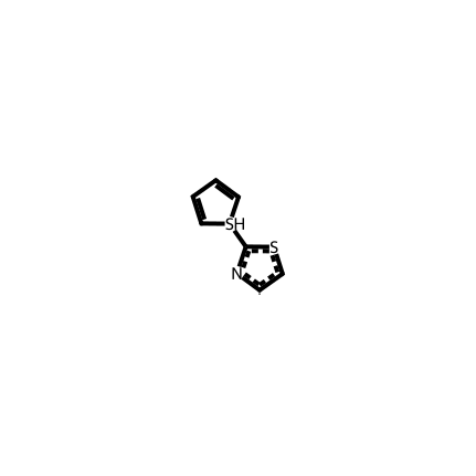 [c]1csc([SH]2C=CC=C2)n1